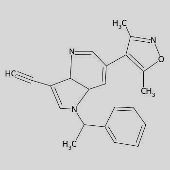 C#CC1=CN(C(C)c2ccccc2)C2C=C(c3c(C)noc3C)C=NC12